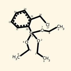 CCO[Si](OCC)(OCC)c1ccccc1CCl